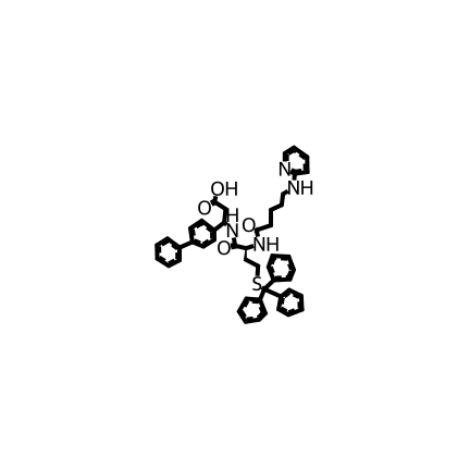 O=C(O)CC(NC(=O)[C@H](CCSC(c1ccccc1)(c1ccccc1)c1ccccc1)NC(=O)CCCCNc1ccccn1)c1ccc(-c2ccccc2)cc1